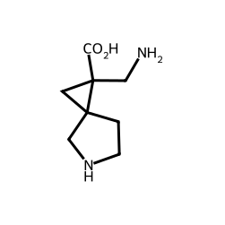 NCC1(C(=O)O)CC12CCNC2